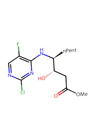 CCCCC[C@H](Nc1nc(Cl)ncc1F)[C@@H](O)CC(=O)OC